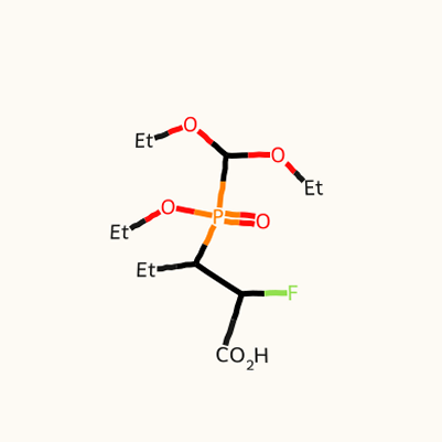 CCOC(OCC)P(=O)(OCC)C(CC)C(F)C(=O)O